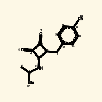 CC(NC1C(=O)C(=O)C1Cc1ccc(C#N)cc1)C(C)(C)C